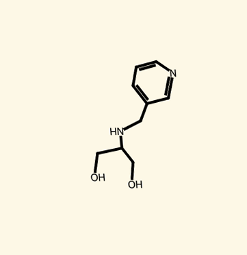 OCC(CO)NCc1cccnc1